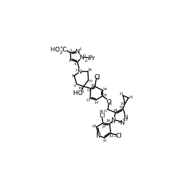 CC(C)n1nc(C(=O)O)cc1N1CCC(O)(c2ccc(OCc3c(C4CC4)nnn3-c3c(Cl)cncc3Cl)cc2Cl)CC1